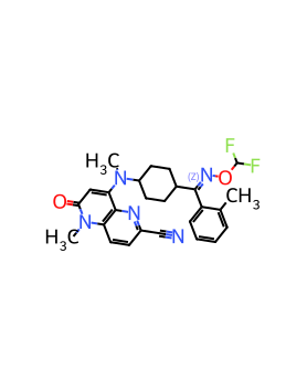 Cc1ccccc1/C(=N\OC(F)F)C1CCC(N(C)c2cc(=O)n(C)c3ccc(C#N)nc23)CC1